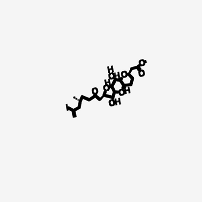 C=C(I)C[C@H](C)CCC(=O)C[C@H]1O[C@@H]2C(O[C@H]3CC[C@H](CC(=O)OC)O[C@@H]3[C@@H]2O)[C@H]1O